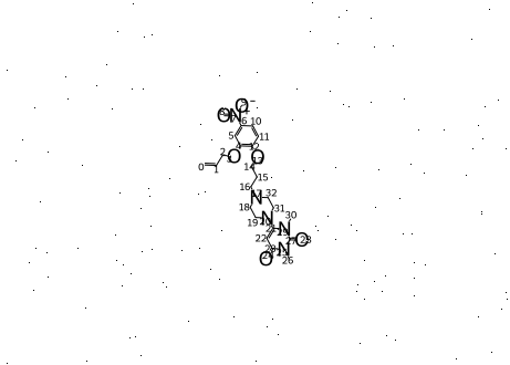 C=CCOc1cc([N+](=O)[O-])ccc1OCCCN1CCN(c2cc(=O)n(C)c(=O)n2C)CC1